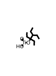 CCC(CC)C(CC)(CC)[O][Ti](=[O])[OH]